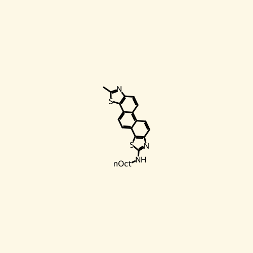 CCCCCCCCNc1nc2ccc3c4ccc5nc(C)sc5c4ccc3c2s1